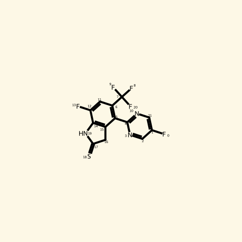 Fc1cnc(-c2c(C(F)(F)F)cc(F)c3c2CC(=S)N3)nc1